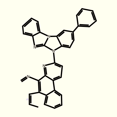 C=Nc1c(/C=C\C)c2ccccc2c2ccc(-n3c4ccc(-c5ccccc5)cc4n4c5ccccc5nc34)nc12